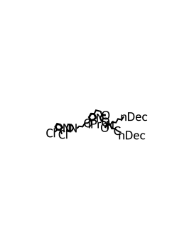 CCCCCCCCCCCCCCN(CCCCCCCCCCCCCC)C(=O)OC(C(C)C)N1C(=O)CCc2ccc(OCCCCN3CCN(c4cccc(Cl)c4Cl)CC3)cc21